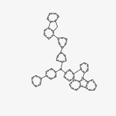 c1ccc(-c2ccc(N(c3ccc(-c4cccc(-c5cccc6c5Cc5ccccc5-6)c4)cc3)c3cccc(-c4ccccc4-n4c5ccccc5c5ccccc54)c3)cc2)cc1